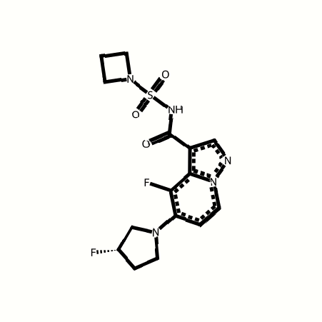 O=C(NS(=O)(=O)N1CCC1)c1cnn2ccc(N3CC[C@H](F)C3)c(F)c12